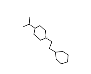 CC(C)C1CCN(CCC2CCCCC2)CC1